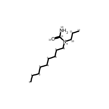 CCCCCCCCCN(CCC)C(N)=O